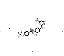 CNc1cc(C)nc(NC2CCC(NC(=O)c3ccc(OC(F)(F)F)cc3)CC2)n1.Cl